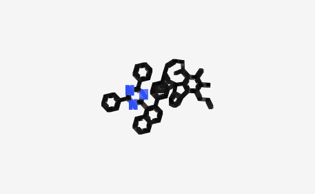 C=C/C=c1/c2c3/c(c(=C)c1=C)=C(\C)C/C=C\C1=C(CC)C3(c3cc(-c4ccc5ccccc5c4-c4nc(-c5ccccc5)nc(-c5ccccc5)n4)ccc31)c1ccccc1-2